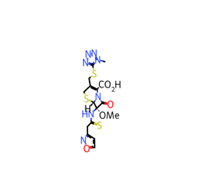 CO[C@@]1(NC(=S)Cc2ccon2)C(=O)N2C(C(=O)O)=C(CSc3nnnn3C)CS[C@H]21